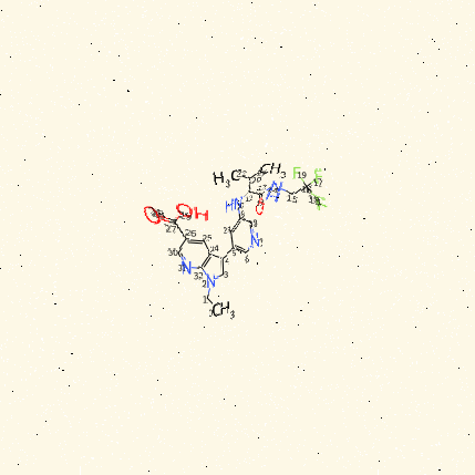 CCn1cc(-c2cncc(N[C@@H](C(=O)NCC(F)(F)F)C(C)C)c2)c2cc(C(=O)O)cnc21